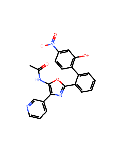 CC(=O)Nc1oc(-c2ccccc2-c2ccc([N+](=O)[O-])cc2O)nc1-c1cccnc1